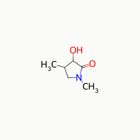 CC1CN(C)C(=O)C1O